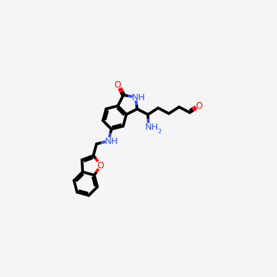 NC(CCCC=O)C1NC(=O)c2ccc(NCc3cc4ccccc4o3)cc21